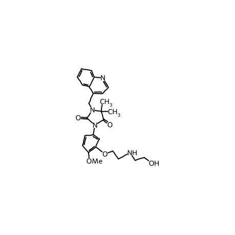 COc1ccc(N2C(=O)N(Cc3ccnc4ccccc34)C(C)(C)C2=O)cc1OCCNCCO